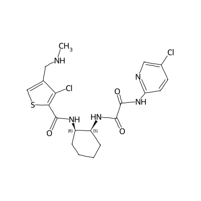 CNCc1csc(C(=O)N[C@@H]2CCCC[C@@H]2NC(=O)C(=O)Nc2ccc(Cl)cn2)c1Cl